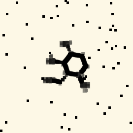 OC[C@@H]1[C@@H](O)[C@H](O)CCN1O